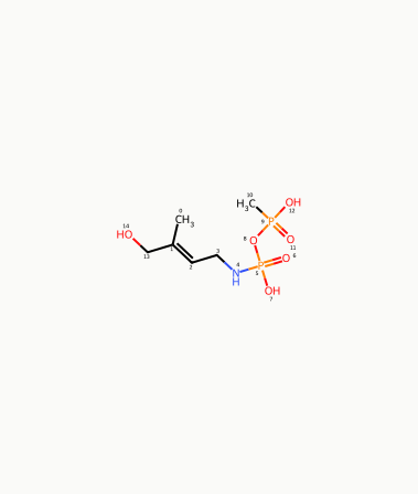 C/C(=C\CNP(=O)(O)OP(C)(=O)O)CO